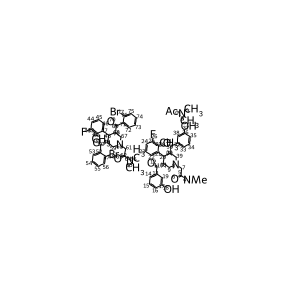 CC(=O)N(C)C.CNC(=O)CN1C[C@H](C(=O)c2cccc(O)c2)C(c2cccc(F)c2C)[C@@H](C(=O)c2cccc(O)c2)C1.Cc1c(F)cccc1C1[C@@H](C(=O)c2ccccc2Br)CN(CC(=O)N(C)C)C[C@@H]1C(=O)c1ccccc1Br